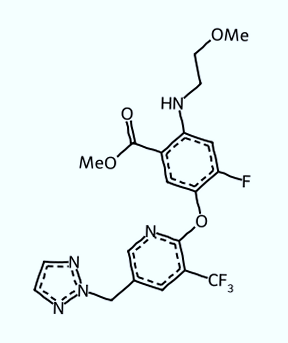 COCCNc1cc(F)c(Oc2ncc(Cn3nccn3)cc2C(F)(F)F)cc1C(=O)OC